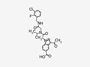 CC(=O)c1nn(CC(=O)N(CC(=O)NCc2cccc(Cl)c2F)C(C)C)c2ccc(C(=O)O)cc12